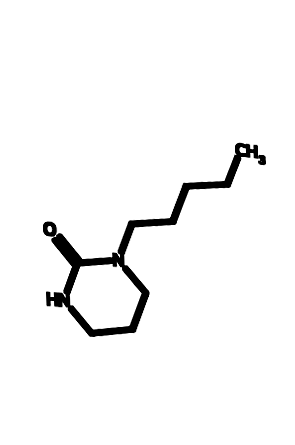 CCCCCN1CCCNC1=O